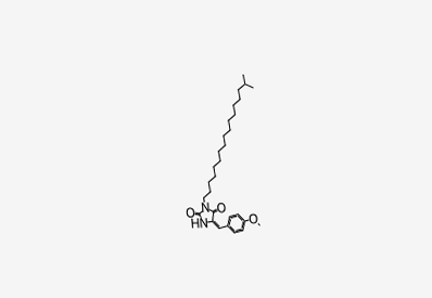 COc1ccc(C=C2NC(=O)N(CCCCCCCCCCCCCCCC(C)C)C2=O)cc1